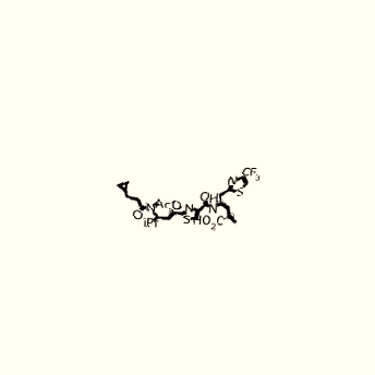 CC(=O)O[C@H](CC(C(C)C)N(C)C(=O)CCC1CC1)c1nc(C(=O)N[C@@H](Cc2nc(C(F)(F)F)cs2)C[C@H](C)C(=O)O)cs1